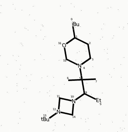 CCC(C)C1CCN(C(C)(C)C(CC)N2CN(C(C)(C)C)C2)CO1